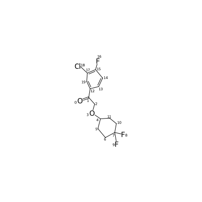 O=C(COC1CCC(F)(F)CC1)c1ccc(F)c(Cl)c1